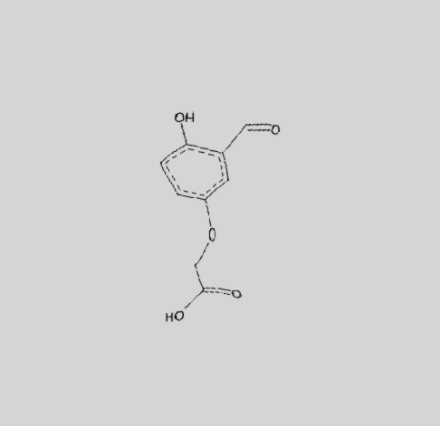 O=Cc1cc(OCC(=O)O)ccc1O